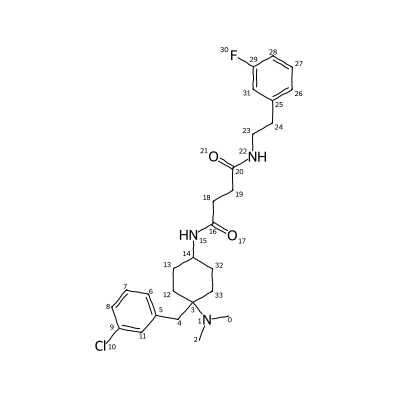 CN(C)C1(Cc2cccc(Cl)c2)CCC(NC(=O)CCC(=O)NCCc2cccc(F)c2)CC1